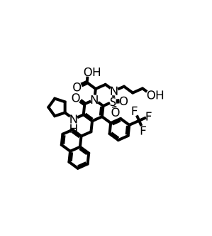 O=C(O)C1CN(CCCO)S(=O)(=O)c2c(-c3cccc(C(F)(F)F)c3)c(Cc3cccc4ccccc34)c(NC3CCCC3)c(=O)n21